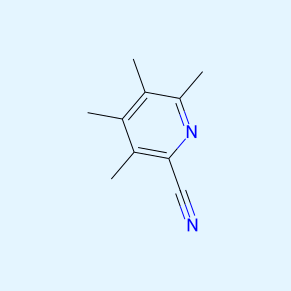 Cc1nc(C#N)c(C)c(C)c1C